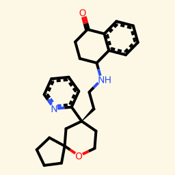 O=C1CCC(NCC[C@@]2(c3ccccn3)CCOC3(CCCC3)C2)c2ccccc21